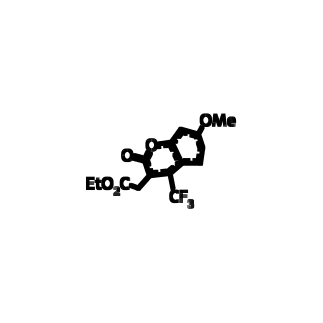 CCOC(=O)Cc1c(C(F)(F)F)c2ccc(OC)cc2oc1=O